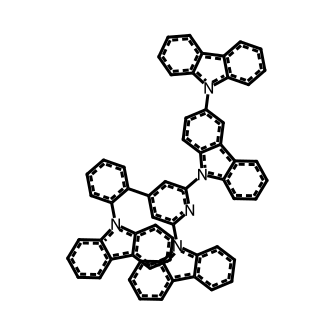 c1ccc(-n2c3ccccc3c3ccccc32)c(-c2cc(-n3c4ccccc4c4ccccc43)nc(-n3c4ccccc4c4cc(-n5c6ccccc6c6ccccc65)ccc43)c2)c1